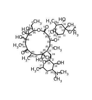 CC[C@H]1OC(=O)[C@H](C)[C@@H](O[C@H]2CC(C)(OC)[C@@H](O)C(C)O2)[C@H](C)[C@@H](C[C@@H]2OC(C)CC(N(C)C)C2O)[C@](C)(O)C[C@@H](C)C(=O)[C@H](C)[C@@H](O)[C@]1(C)O